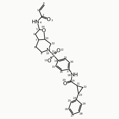 C=CC(=O)NC1CC2CCN(S(=O)(=O)c3ccc(NC(=O)C4CC4c4ccccc4)cc3)CC2O1